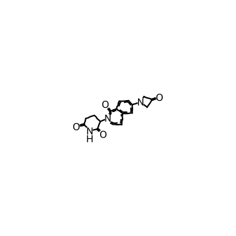 O=C1CN(c2ccc3c(=O)n(C4CCC(=O)NC4=O)ccc3c2)C1